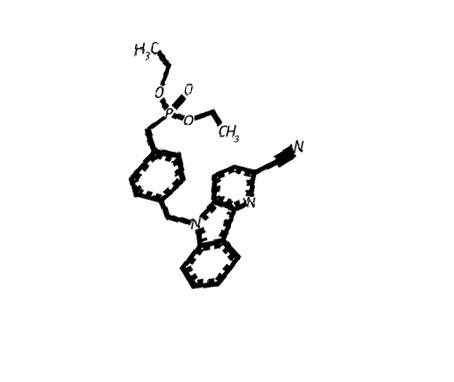 CCOP(=O)(Cc1ccc(Cn2c3ccccc3c3nc(C#N)ccc32)cc1)OCC